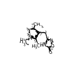 Cc1nn(C)c(C)c1Cc1noc(=O)[nH]1